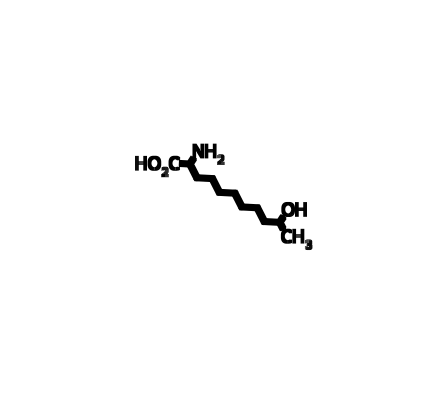 CC(O)CCCCCCCC(N)C(=O)O